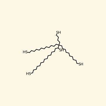 S[CH]CCCC(CCCCCCCCCCS)(CCCCCCCCCCCCS)[C](S)CCCCCCCCCCCCCCS